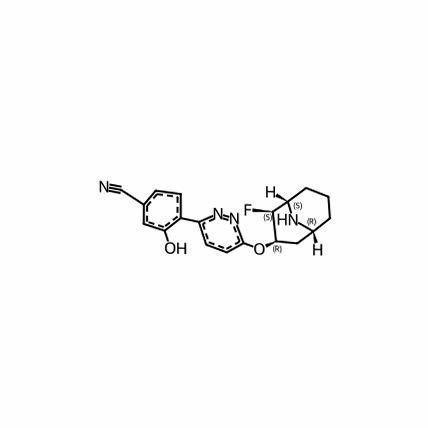 N#Cc1ccc(-c2ccc(O[C@@H]3C[C@H]4CCC[C@H](N4)[C@@H]3F)nn2)c(O)c1